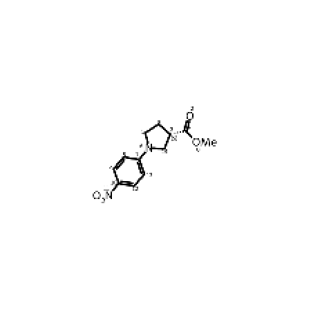 COC(=O)[C@H]1CCN(c2ccc([N+](=O)[O-])cc2)C1